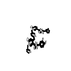 Cc1cccc(-c2noc(-c3ccc(=O)n(Cc4ccc(Cc5cc(=O)n(Cc6cccnc6)cc5-c5nc(-c6ccc(F)c(F)c6)no5)nc4)c3)n2)c1